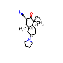 CC1(C)C(=O)C(C#N)=C[C@]2(C)C[C@@H](N3CCCC3)CC[C@H]12